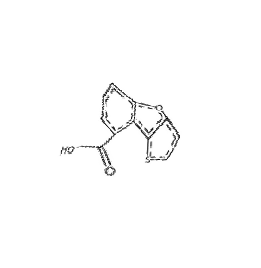 O=C(O)c1cccc2oc3ccsc3c12